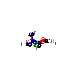 Cc1ccc(S(=O)(=O)Oc2cc(N3CCc4c(nc(OC[C@@]56CCCN5C[C@H](F)C6)nc4N4CCCC5(CNC5=O)C4)C3)c3c(Br)c(F)ccc3c2)cc1